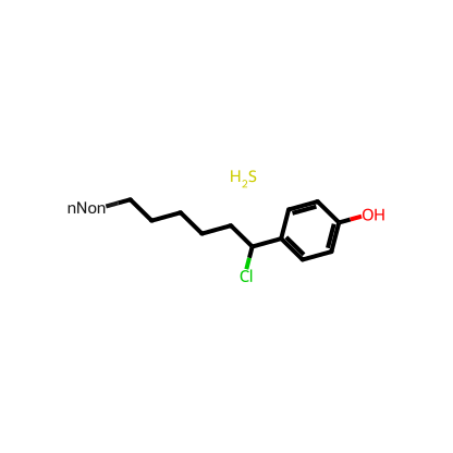 CCCCCCCCCCCCCCC(Cl)c1ccc(O)cc1.S